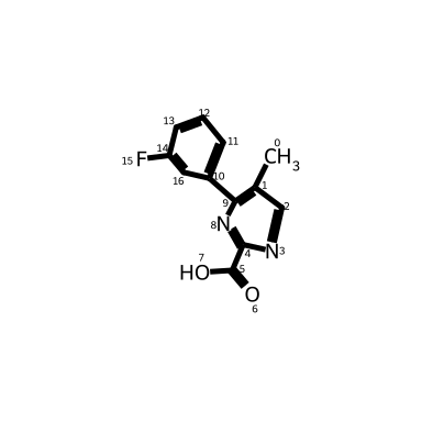 Cc1cnc(C(=O)O)nc1-c1cccc(F)c1